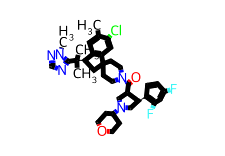 Cc1cc2c(cc1Cl)C1(CCN(C(=O)C3CN(C4CCOCC4)C[C@H]3c3ccc(F)cc3F)CC1)C[C@@H]2C(C)(C)c1ncnn1C